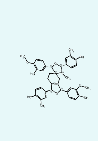 COc1ccc([C@@H]2O[C@H](c3ccc(O)c(C)c3)[C@@H](C)[C@@]23CCC2=C(C3)[C@@H](c3ccc(O)c(OC)c3)O[C@H]2c2ccc(O)c(C)c2)cc1O